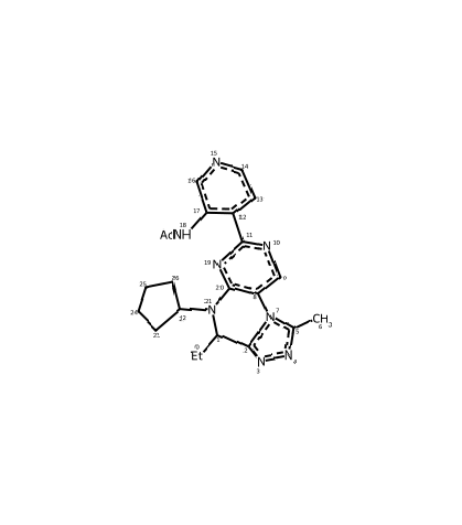 CCC1c2nnc(C)n2-c2cnc(-c3ccncc3NC(C)=O)nc2N1C1CCCC1